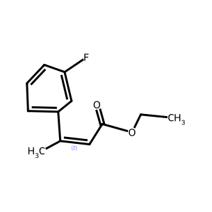 CCOC(=O)/C=C(/C)c1cccc(F)c1